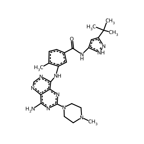 Cc1ccc(C(=O)Nc2cc(C(C)(C)C)n[nH]2)cc1Nc1ncnc2c(N)nc(N3CCN(C)CC3)nc12